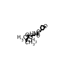 CCC(C)(C)C(=O)OCCNC(=O)OCC1CCC2OC2C1